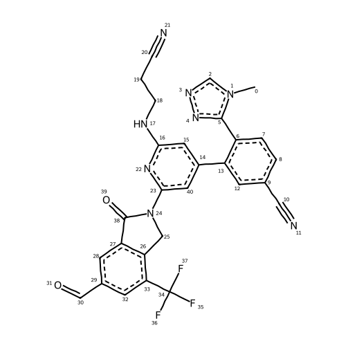 Cn1cnnc1-c1ccc(C#N)cc1-c1cc(NCCC#N)nc(N2Cc3c(cc(C=O)cc3C(F)(F)F)C2=O)c1